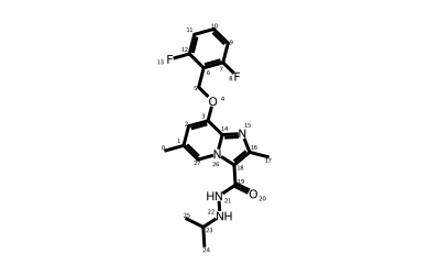 Cc1cc(OCc2c(F)cccc2F)c2nc(C)c(C(=O)NNC(C)C)n2c1